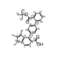 Cc1c(C)n(C)c2ccc(C(=O)O)c(-c3ccc(-c4ccccc4C(=O)OC(C)(C)C)cc3)c12